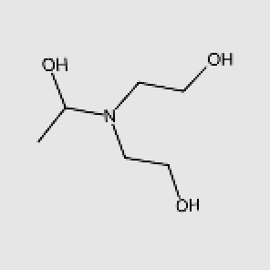 CC(O)N(CCO)CCO